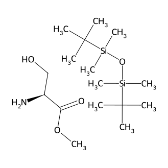 CC(C)(C)[Si](C)(C)O[Si](C)(C)C(C)(C)C.COC(=O)[C@@H](N)CO